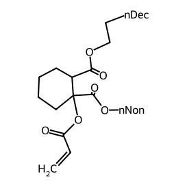 C=CC(=O)OC1(C(=O)OCCCCCCCCC)CCCCC1C(=O)OCCCCCCCCCCCC